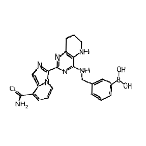 NC(=O)c1cccn2c(-c3nc4c(c(NCc5cccc(B(O)O)c5)n3)NCCC4)ncc12